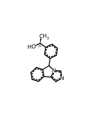 C[C@H](O)c1cccc(C2c3ccccc3-c3cncn32)c1